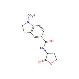 O=C(N[C@H]1CCOC1=O)c1ccc2c(c1)CCN2C(=O)O